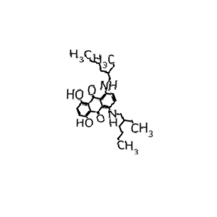 CCCCC(CC)CNc1ccc(NCC(CC)CCCC)c2c1C(=O)c1c(O)ccc(O)c1C2=O